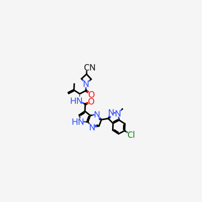 C=C(C)[C@@H](NC(=O)c1c[nH]c2ncc(-c3nn(C)c4cc(Cl)ccc34)nc12)C(=O)N1CC(C#N)C1